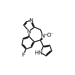 [O-][N+]1=C(c2ccc[nH]2)c2cc(F)ccc2-n2ccnc2C1